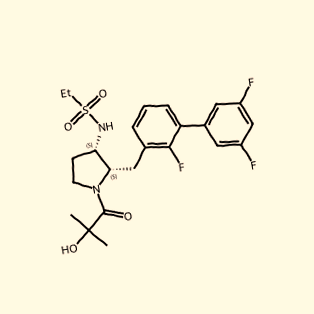 CCS(=O)(=O)N[C@H]1CCN(C(=O)C(C)(C)O)[C@H]1Cc1cccc(-c2cc(F)cc(F)c2)c1F